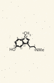 CNCCc1cn(C)c2ccc(O)cc12